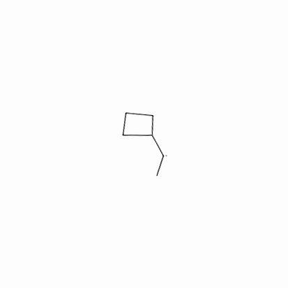 C[CH]C1CCC1